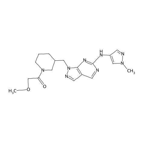 COCC(=O)N1CCCC(Cn2ncc3cnc(Nc4cnn(C)c4)nc32)C1